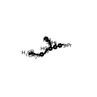 C=C(C)C(=O)OCCCOc1ccc(CCOC(O)c2ccc(-c3ccc(-c4ccc(CSCCC)cc4)c(F)c3)c(/C=N/Nc3nc4cccnc4s3)c2)cc1